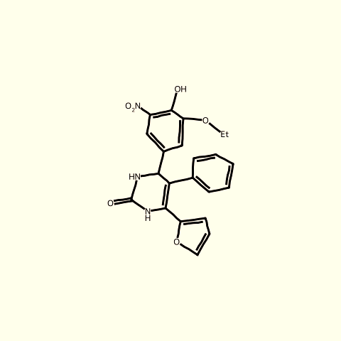 CCOc1cc(C2NC(=O)NC(c3ccco3)=C2c2ccccc2)cc([N+](=O)[O-])c1O